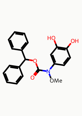 CON(C(=O)OC(c1ccccc1)c1ccccc1)c1ccc(O)c(O)c1